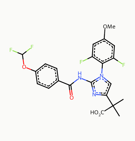 COc1cc(F)c(-n2cc(C(C)(C)C(=O)O)nc2NC(=O)c2ccc(OC(F)F)cc2)c(F)c1